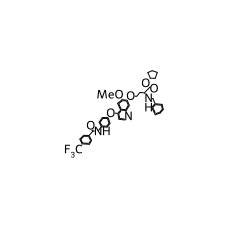 COc1cc2c(Oc3ccc(NC(=O)c4ccc(C(F)(F)F)cc4)cc3)ccnc2cc1OCCC(NCc1ccccc1)C(=O)OC1CCCC1